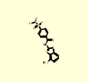 CCN(CC)S(=O)(=O)c1ccc(C(=O)Nc2nc3c(C)cccc3s2)cc1